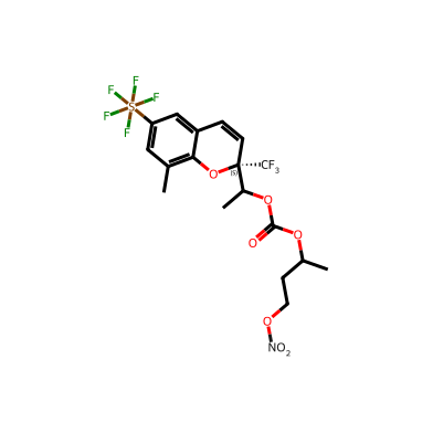 Cc1cc(S(F)(F)(F)(F)F)cc2c1O[C@@](C(C)OC(=O)OC(C)CCO[N+](=O)[O-])(C(F)(F)F)C=C2